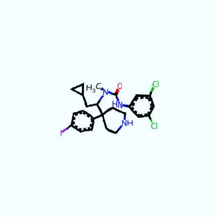 CN(C(=O)Nc1cc(Cl)cc(Cl)c1)C(CC1CC1)C1(c2ccc(I)cc2)CCNCC1